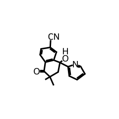 CC1(C)CC(O)(c2ccccn2)c2cc(C#N)ccc2C1=O